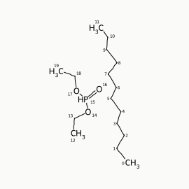 CCCCCCCCCCCC.CCO[PH](=O)OCC